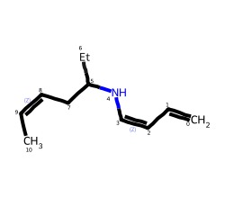 C=C/C=C\NC(CC)C/C=C\C